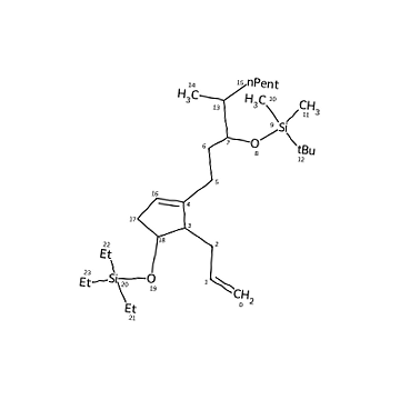 C=CCC1C(CCC(O[Si](C)(C)C(C)(C)C)C(C)CCCCC)=CCC1O[Si](CC)(CC)CC